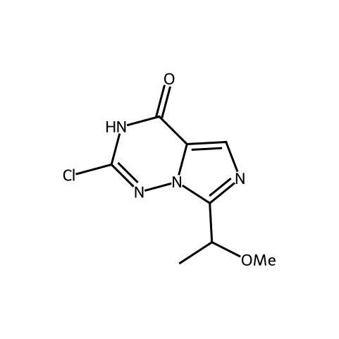 COC(C)c1ncc2c(=O)[nH]c(Cl)nn12